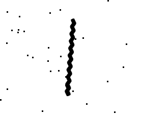 C=CC=CCCCCCCCCCCCCCCCCCC